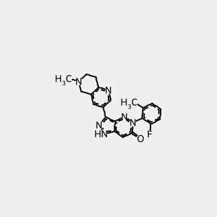 Cc1cccc(F)c1-n1nc2c(-c3cnc4c(c3)CN(C)CC4)n[nH]c2cc1=O